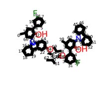 Cc1cc(-c2cccc(F)c2)c(O)c(-n2c3ccccc3c3cc(O[CH2][Ge]([CH2]Oc4ccc(F)cc4-c4cc(C)cc(-n5c6ccccc6c6ccccc65)c4O)([CH](C)C)[CH](C)C)ccc32)c1